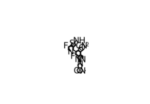 CN1CCOC2CN(c3ncc4c5c(c(-c6ncc(F)c7sc(N)c(C#N)c67)c(F)c4n3)COC5)CC21